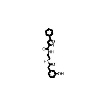 O=C(Cc1cccc(O)c1)NCCNC(=O)c1cc(-c2ccccc2)on1